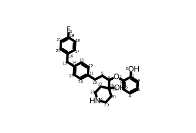 Oc1ccccc1OC(CCc1ccc(Cc2ccc(F)cc2)cc1)C1(O)CCNCC1